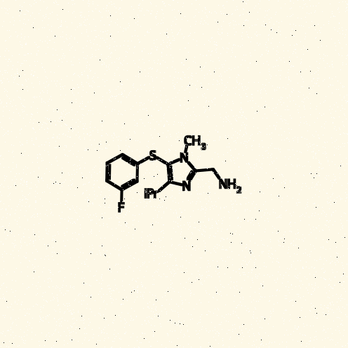 CC(C)c1nc(CN)n(C)c1Sc1cccc(F)c1